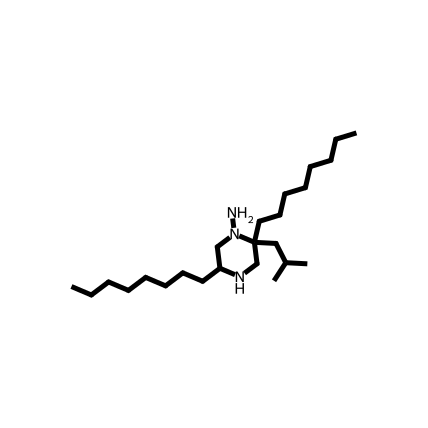 CCCCCCCCC1CN(N)C(CCCCCCCC)(CC(C)C)CN1